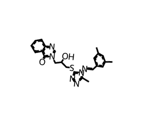 Cc1cc(C)cc(C=Nn2c(C)nnc2SCC(O)Cn2cnc3ccccc3c2=O)c1